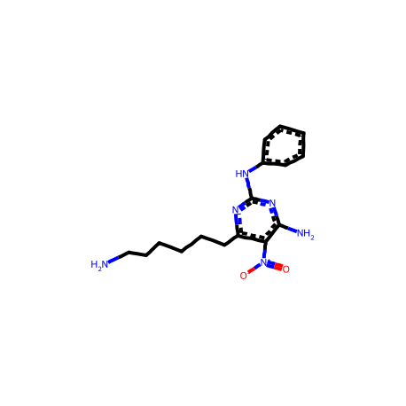 NCCCCCCc1nc(Nc2ccccc2)nc(N)c1[N+](=O)[O-]